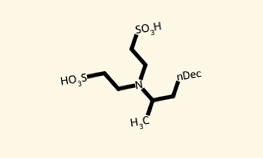 CCCCCCCCCCCC(C)N(CCS(=O)(=O)O)CCS(=O)(=O)O